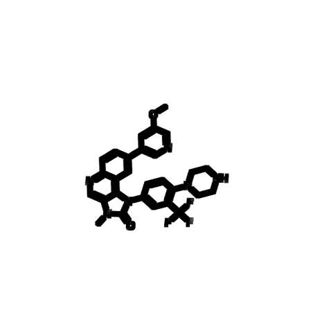 COc1cncc(-c2ccc3ncc4c(c3c2)n(-c2ccc(N3CCNCC3)c(C(F)(F)F)c2)c(=O)n4C)c1